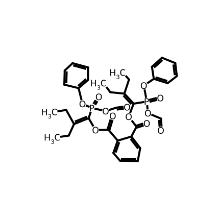 CCC(CC)=C(OC(=O)c1ccccc1C(=O)OC(=C(CC)CC)P(=O)(OC=O)Oc1ccccc1)P(=O)(OC=O)Oc1ccccc1